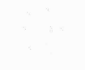 N#Cc1cccnc1-c1ncnc2nc[nH]c12